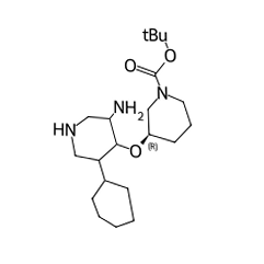 CC(C)(C)OC(=O)N1CCC[C@@H](OC2C(N)CNCC2C2CCCCC2)C1